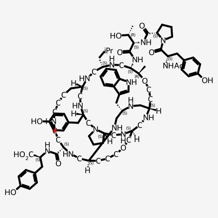 CC(=O)N[C@@H](Cc1ccc(O)cc1)C(=O)N1CCC[C@H]1C(=O)N[C@H](C(=O)N[C@H]1CN[C@@H](CC(C)C)CN[C@H]2CCCCNCC[C@@H](C(=O)N[C@@H](Cc3ccc(O)cc3)C(=O)O)NC[C@@H]3CCCOC[C@H](CN[C@@H](CCO[C@@H]1C)CN[C@@H](Cc1c[nH]c4ccccc14)CN3)NC[C@@H]1CCCN1C[C@H](Cc1ccc(O)cc1)NC2)[C@@H](C)O